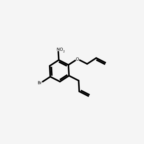 C=CCOc1c(CC=C)cc(Br)cc1[N+](=O)[O-]